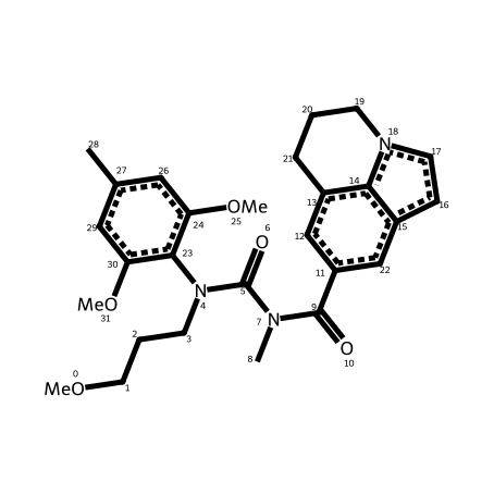 COCCCN(C(=O)N(C)C(=O)c1cc2c3c(ccn3CCC2)c1)c1c(OC)cc(C)cc1OC